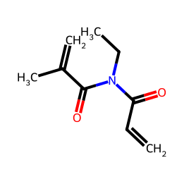 C=CC(=O)N(CC)C(=O)C(=C)C